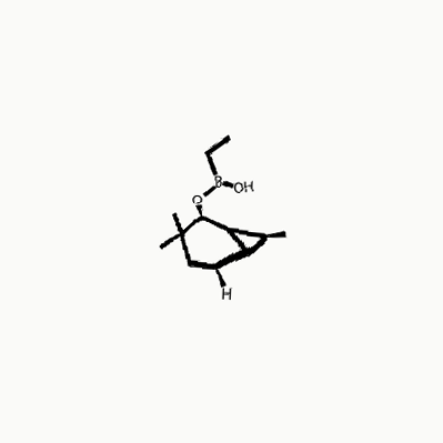 CCB(O)O[C@H]1C2C3[C@@H](CC1(C)C)[C@]32C